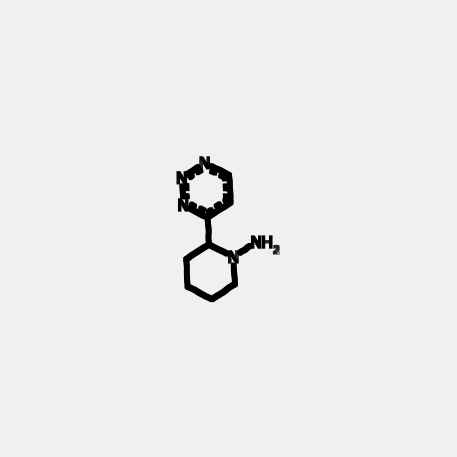 NN1CCCCC1c1ccnnn1